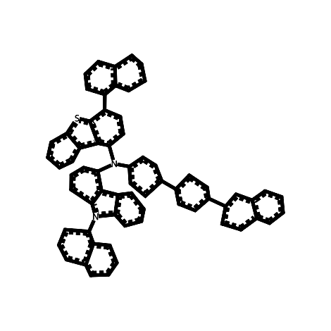 c1ccc2cc(-c3ccc(-c4ccc(N(c5ccc(-c6cccc7ccccc67)c6sc7ccccc7c56)c5cccc6c5c5ccccc5n6-c5cccc6ccccc56)cc4)cc3)ccc2c1